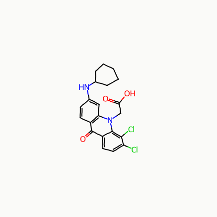 O=C(O)Cn1c2cc(NC3CCCCC3)ccc2c(=O)c2ccc(Cl)c(Cl)c21